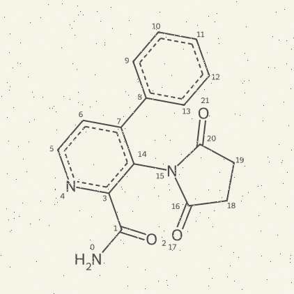 NC(=O)c1nccc(-c2ccccc2)c1N1C(=O)CCC1=O